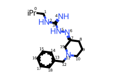 CC(C)CNC(=N)N/N=C1/CCCN(Cc2ccccc2)C1